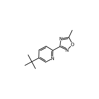 Cc1nc(-c2ccc(C(C)(C)C)cn2)no1